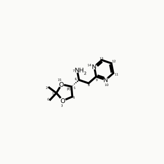 CC1(C)OC[C@@H](C(N)Cc2ncccn2)O1